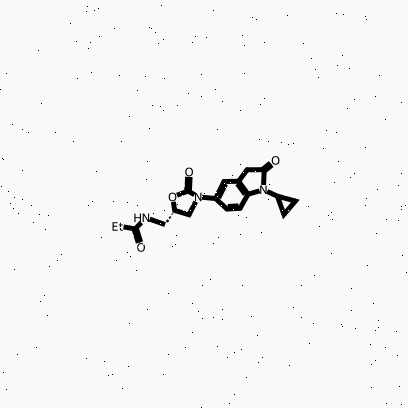 CCC(=O)NC[C@H]1CN(c2ccc3c(c2)CC(=O)N3C2CC2)C(=O)O1